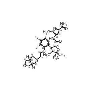 C[C@H]1[C@@H](c2ccc(F)c(F)c2OCCN2C[C@H]3COC[C@H]3C2)[C@H](C(=O)Nc2cc(C(N)=O)nn2C)O[C@@]1(C)C(F)(F)F